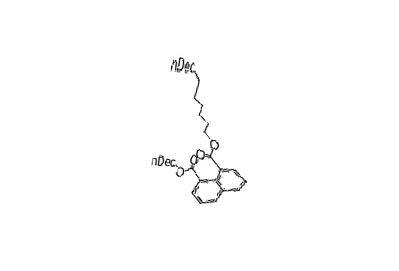 CCCCCCCCCCCCCCCCOC(=O)c1cccc2cccc(C(=O)OCCCCCCCCCC)c12